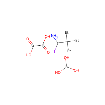 CCC(CC)(CC)C(N)I.O=C(O)C(=O)O.OB(O)O